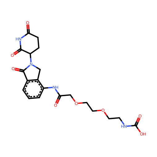 O=C(O)NCCOCCOCC(=O)Nc1cccc2c1CN(C1CCC(=O)NC1=O)C2=O